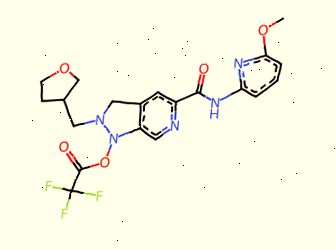 COc1cccc(NC(=O)c2cc3c(cn2)N(OC(=O)C(F)(F)F)N(CC2CCOC2)C3)n1